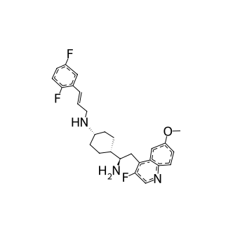 COc1ccc2ncc(F)c(C[C@@H](N)[C@H]3CC[C@@H](NC/C=C/c4cc(F)ccc4F)CC3)c2c1